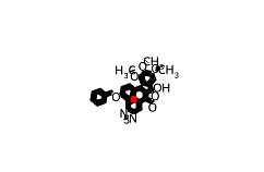 COc1cc(C2(O)OC(=O)C(c3ccc4nsnc4c3)=C2Cc2ccc(OCc3ccccc3)cc2)cc(OC)c1OC